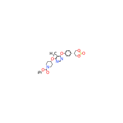 Cc1c(Oc2ccc([C@H]3CO[S@](=O)OC3)cc2)ncnc1OC1CCN(C(=O)OC(C)C)CC1